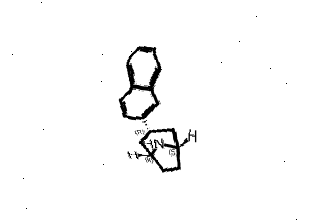 c1ccc2cc([C@H]3C[C@H]4CC[C@@H](C3)N4)ccc2c1